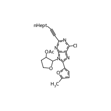 CCCCCCCC#Cc1nc(Cl)c2nc(-c3ccc(C)o3)n(C3OCCC3OC(C)=O)c2n1